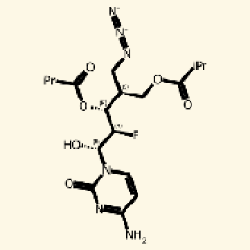 CC(C)C(=O)OC[C@H](CN=[N+]=[N-])[C@@H](OC(=O)C(C)C)[C@@H](F)[C@@H](O)n1ccc(N)nc1=O